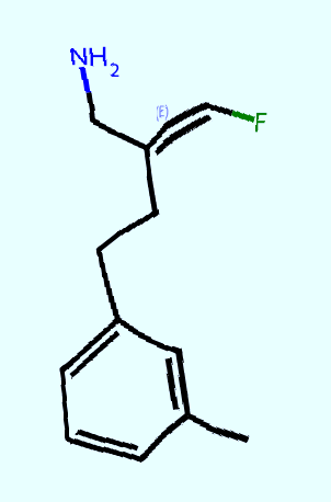 Cc1cccc(CC/C(=C\F)CN)c1